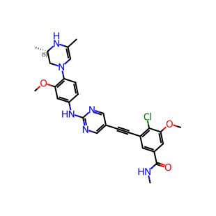 CNC(=O)c1cc(C#Cc2cnc(Nc3ccc(N4C=C(C)N[C@@H](C)C4)c(OC)c3)nc2)c(Cl)c(OC)c1